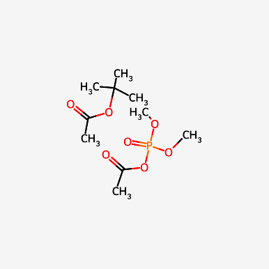 CC(=O)OC(C)(C)C.COP(=O)(OC)OC(C)=O